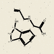 C=CCNCC(=O)O.SN1OSc2ccccc21